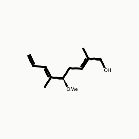 C=C/C=C(\C)[C@@H](C/C=C(\C)CO)OC